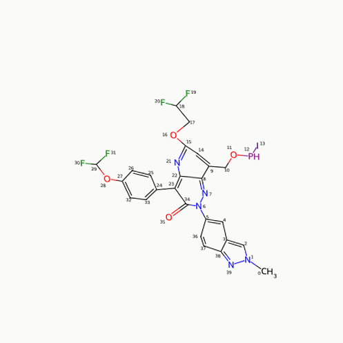 Cn1cc2cc(-n3nc4c(COPI)cc(OCC(F)F)nc4c(-c4ccc(OC(F)F)cc4)c3=O)ccc2n1